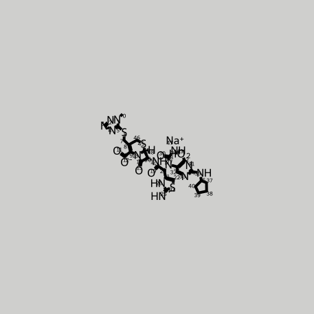 Cn1nnnc1SCC1=C(C(=O)[O-])N2C(=O)[C@@H](NC(=O)C(c3csc(=N)[nH]3)N(C(N)=O)c3cnc(NC4CCCC4)nc3O)[C@H]2SC1.[Na+]